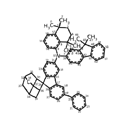 CC1(C)CCC(C)(C)c2c(N(c3ccc4c(c3)-c3cc(-c5ccccc5)ccc3C43C4CC5CC6CC3C64C5)c3ccc4c(c3)C(C)(C)c3ccccc3-4)cccc21